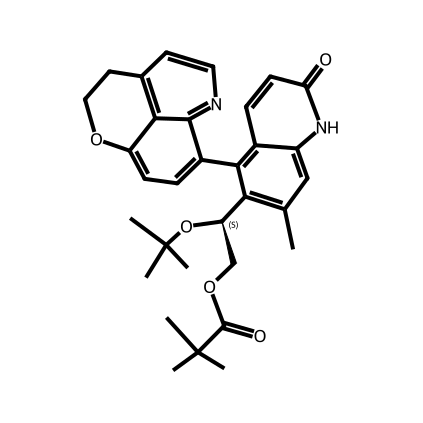 Cc1cc2[nH]c(=O)ccc2c(-c2ccc3c4c(ccnc24)CCO3)c1[C@@H](COC(=O)C(C)(C)C)OC(C)(C)C